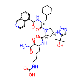 CC(C)(O)c1cnnn1[C@H]1C[C@@H](C(=O)NC(CCCCNC(=O)O)C(=O)C(N)=O)N(C(=O)[C@@H](CC2CCCCC2)NC(=O)c2cccc3cnccc23)C1